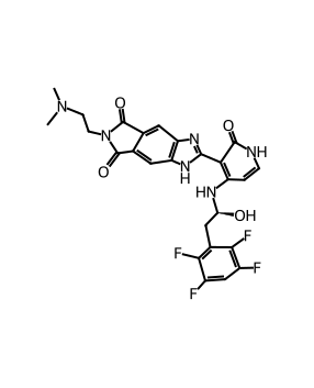 CN(C)CCN1C(=O)c2cc3nc(-c4c(N[C@@H](O)Cc5c(F)c(F)cc(F)c5F)cc[nH]c4=O)[nH]c3cc2C1=O